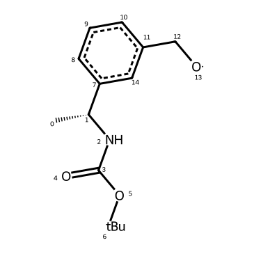 C[C@@H](NC(=O)OC(C)(C)C)c1cccc(C[O])c1